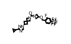 O=C(N1CC(OCc2ccc(S(F)(F)(F)(F)F)cc2F)C1)N1CC2(CC(n3cnc(C4CC4)n3)C2)C1